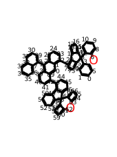 c1ccc2c(c1)Oc1ccccc1C21c2ccccc2-c2c(-c3cccc4c(-c5cccc6ccccc56)c5cccc(-c6cccc7c6-c6ccccc6C76c7ccccc7Oc7ccccc76)c5cc34)cccc21